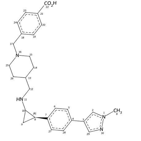 Cn1cc(-c2ccc([C@H]3CC3NCC3CCN(Cc4ccc(C(=O)O)cc4)CC3)cc2)cn1